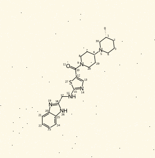 C[C@@H]1CCCN(C2CCN(C(=O)c3cnc(NCc4nc5ccccc5[nH]4)s3)CC2)C1